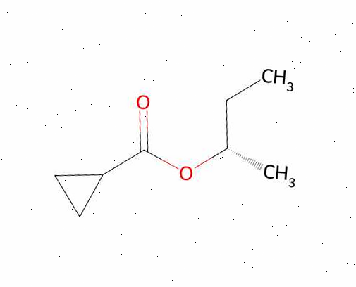 CC[C@H](C)OC(=O)C1CC1